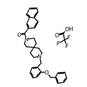 O=C(O)C(F)(F)F.O=C(c1ccc2ccccc2c1)N1CCC2(CCN(Cc3ccccc3OCc3ccccc3)CC2)CC1